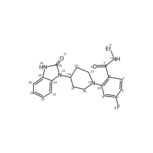 CCNC(=O)c1ccc(F)cc1N1CCC(n2c(=O)[nH]c3ccccc32)CC1